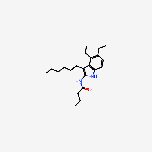 CCCCCCc1c(NC(=O)CCC)[nH]c2ccc(CC)c(CC)c12